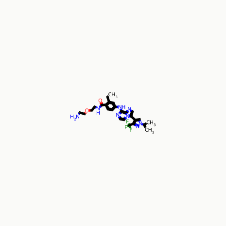 CCc1cc(Nc2nccn3c(-c4cn(C(C)C)nc4C(F)(F)F)cnc23)ccc1C(=O)NCCOCCN